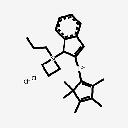 CCC[Si]1(C2[C]([Ti+2][C]3=C(C)C(C)=C(C)C3(C)C)=Cc3ccccc32)CCC1.[Cl-].[Cl-]